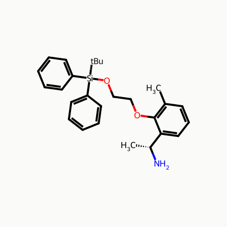 Cc1cccc([C@@H](C)N)c1OCCO[Si](c1ccccc1)(c1ccccc1)C(C)(C)C